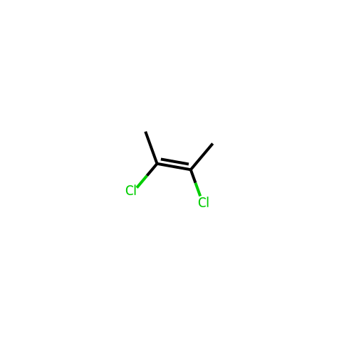 C/C(Cl)=C(\C)Cl